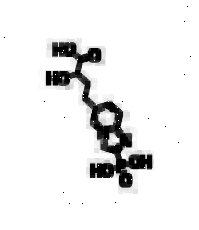 O=C(O)C(O)CCc1ccc2nc(P(=O)(O)O)cn2c1